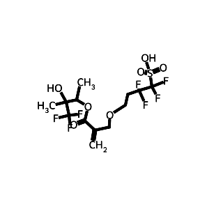 C=C(COCCC(F)(F)C(F)(F)S(=O)(=O)O)C(=O)OC(C)C(C)(O)C(F)(F)F